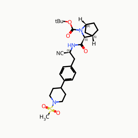 CC(C)(C)OC(=O)N1[C@@H]2CC[C@@H](C2)[C@H]1C(=O)N[C@H](C#N)Cc1ccc(C2CCN(S(C)(=O)=O)CC2)cc1